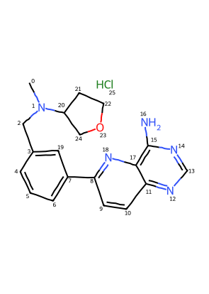 CN(Cc1cccc(-c2ccc3ncnc(N)c3n2)c1)C1CCOC1.Cl